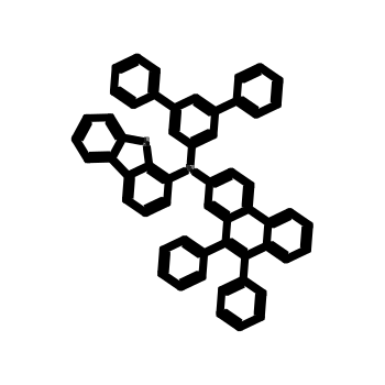 c1ccc(-c2cc(-c3ccccc3)cc(N(c3ccc4c(c3)c(-c3ccccc3)c(-c3ccccc3)c3ccccc34)c3cccc4c3sc3ccccc34)c2)cc1